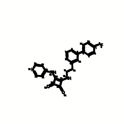 CC(=O)c1ccc(-c2cccc(CCNc3c(Nc4ccncc4)c(=O)c3=O)c2)cc1